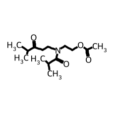 CC(=O)OCCN(CCC(=O)C(C)C)C(=O)C(C)C